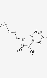 CC(=O)OCCCSC(=O)C(O)c1ccccc1